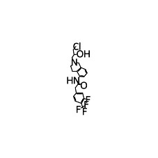 O=C(Cc1ccc(C(F)(F)F)c(F)c1)Nc1cccc2c1CCN(CC(O)CCl)C2